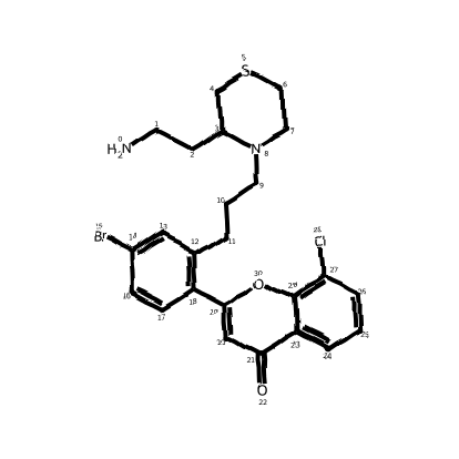 NCCC1CSCCN1CCCc1cc(Br)ccc1-c1cc(=O)c2cccc(Cl)c2o1